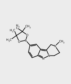 CN1CCn2nc3ccc(B4OC(C)(C)C(C)(C)O4)cc3c2C1